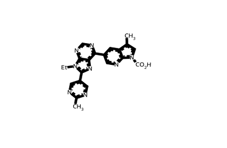 CCn1c(-c2cnc(C)nc2)nc2c(-c3cnc4c(c3)c(C)cn4C(=O)O)ncnc21